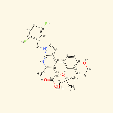 Cc1nc2c(ccn2Cc2cc(F)ccc2F)c(-c2ccc3c(c2)CCCO3)c1[C@H](OC(C)(C)C)C(=O)O